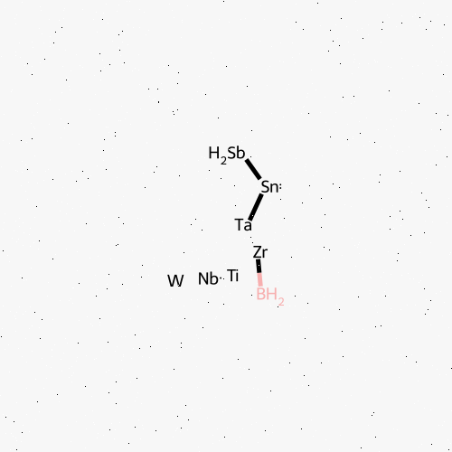 [BH2][Zr].[Nb].[SbH2][Sn][Ta].[Ti].[W]